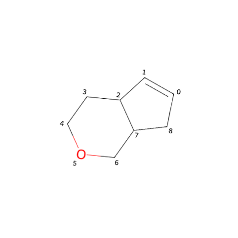 C1=CC2CCOCC2C1